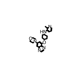 Cc1ncccc1N[C@H]1CC[C@@H](Oc2cc(N3CCOCC3)cc3nccnc23)CC1